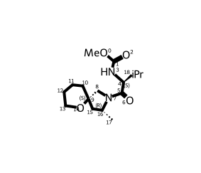 COC(=O)N[C@H](C(=O)N1C[C@]2(CCCCO2)C[C@H]1C)C(C)C